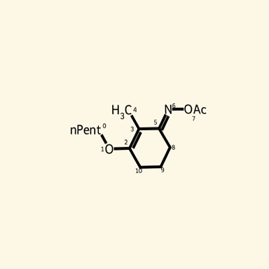 CCCCCOC1=C(C)C(=NOC(C)=O)CCC1